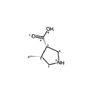 C[C@H]1CNC[C@H]1C(=O)O